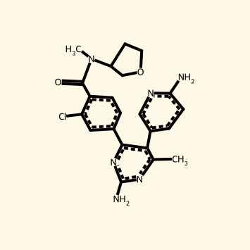 Cc1nc(N)nc(-c2ccc(C(=O)N(C)C3CCOC3)c(Cl)c2)c1-c1ccc(N)nc1